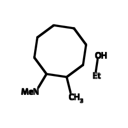 CCO.CNC1CCCCCCC1C